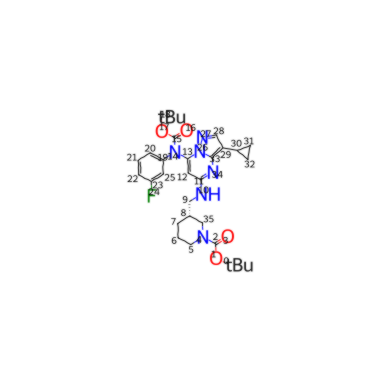 CC(C)(C)OC(=O)N1CCC[C@H](CNc2cc(N(C(=O)OC(C)(C)C)c3cccc(F)c3)n3ncc(C4CC4)c3n2)C1